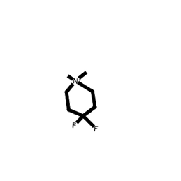 C[N+]1(C)CCC(F)(F)CC1